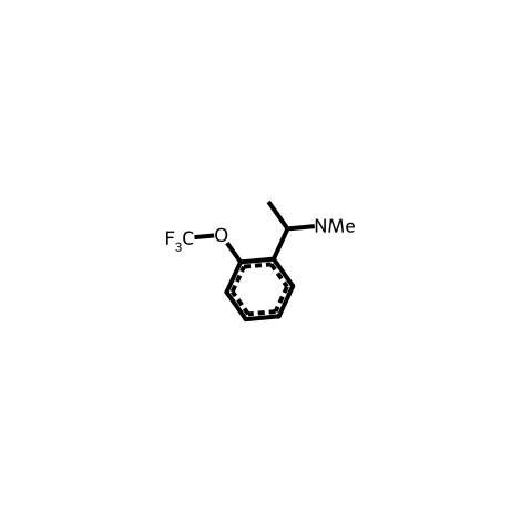 CNC(C)c1ccccc1OC(F)(F)F